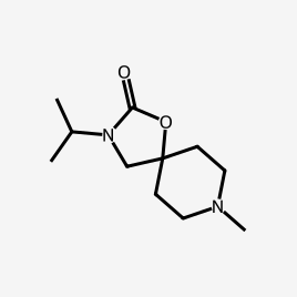 CC(C)N1CC2(CCN(C)CC2)OC1=O